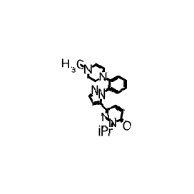 CC(C)n1nc(-c2ccnn2-c2ccccc2N2CCN(C)CC2)ccc1=O